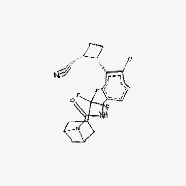 N#C[C@@H]1CC[C@@H]1c1cc(NC(=O)N2C3CC2CC(C(F)(F)F)C3)ccc1Cl